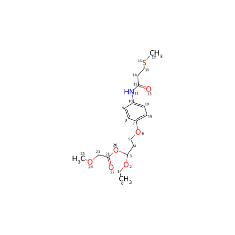 CCOC(CCOc1ccc(NC(=O)CCSC)cc1)OC(=O)COC